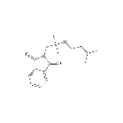 CC(C)CCOC(C)(C)CN1C(=O)c2ccccc2C1=O